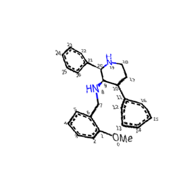 COc1ccccc1CN[C@@H]1C(c2ccccc2)CCN[C@@H]1c1ccccc1